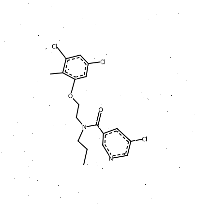 CCCN(CCOc1cc(Cl)cc(Cl)c1C)C(=O)c1cncc(Cl)c1